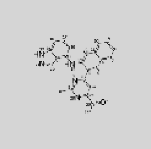 Cc1nc(-c2nc3ccccc3nc2Nc2cccc3[nH]ncc23)cc([S+](C)[O-])n1